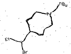 CCCCN1CCC(C(Br)CC)CC1